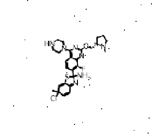 CN1CCC[C@H]1COc1nc(N2CCNCC2)c2ccc(C3(N)N=C4C=CC(C)(Cl)C=C4S3)c(F)c2n1